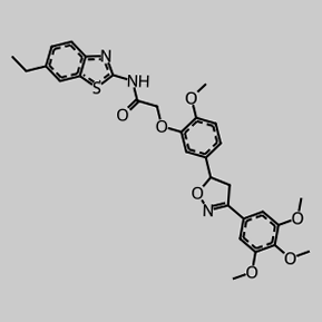 CCc1ccc2nc(NC(=O)COc3cc(C4CC(c5cc(OC)c(OC)c(OC)c5)=NO4)ccc3OC)sc2c1